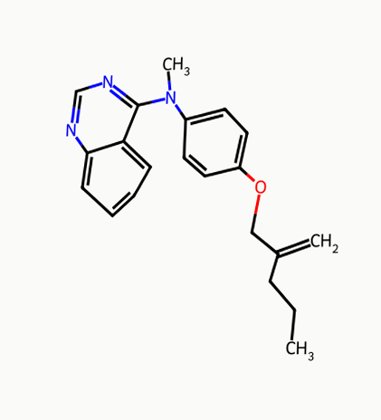 C=C(CCC)COc1ccc(N(C)c2ncnc3ccccc23)cc1